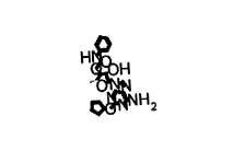 C[C@H]1O[C@@H](n2cnc3c(N)nc(OC4CCCC4)nc32)[C@H](O)[C@@H]1OC(=O)Nc1ccccc1